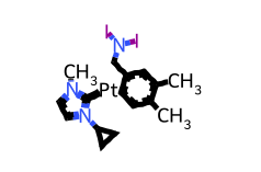 Cc1ccc(CN(I)I)cc1C.Cn1ccn(C2CC2)[c]1=[Pt]